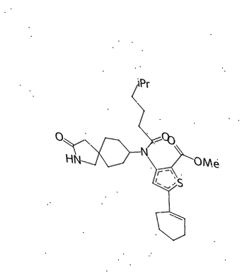 COC(=O)c1sc(C2=CCCCC2)cc1N(C(=O)CCCC(C)C)C1CCC2(CC1)CNC(=O)C2